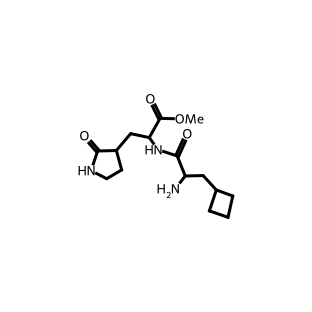 COC(=O)C(CC1CCNC1=O)NC(=O)C(N)CC1CCC1